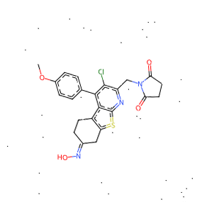 COc1ccc(-c2c(Cl)c(CN3C(=O)CCC3=O)nc3sc4c(c23)CCC(=NO)C4)cc1